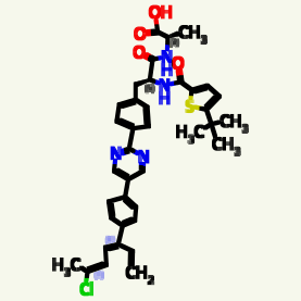 C=C/C(=C\C=C(/C)Cl)c1ccc(-c2cnc(-c3ccc(C[C@H](NC(=O)c4ccc(C(C)(C)C)s4)C(=O)N[C@H](C)C(=O)O)cc3)nc2)cc1